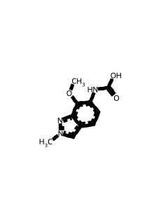 COc1c(NC(=O)O)ccc2cn(C)nc12